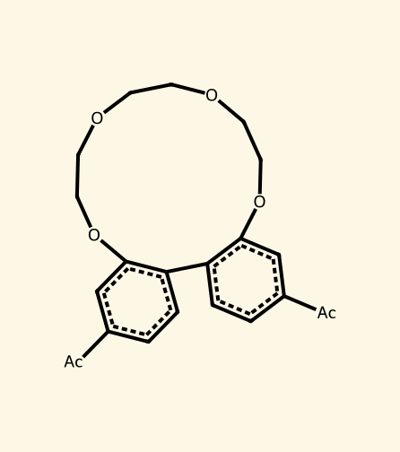 CC(=O)c1ccc2c(c1)OCCOCCOCCOc1cc(C(C)=O)ccc1-2